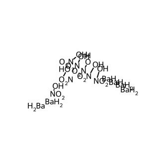 O=[N+]([O-])O.O=[N+]([O-])O.O=[N+]([O-])O.O=[N+]([O-])O.O=[N+]([O-])O.O=[N+]([O-])O.O=[N+]([O-])O.[BaH2].[BaH2].[BaH2].[BaH2].[BaH2].[BaH2]